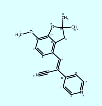 COc1ccc(C=C(C#N)c2ccncc2)c2c1OC(C)(C)C2